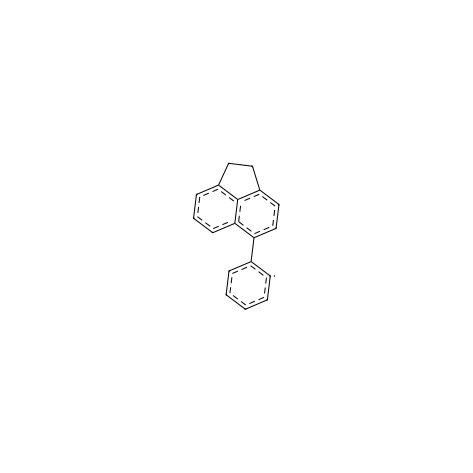 [c]1ccccc1-c1ccc2c3c(cccc13)CC2